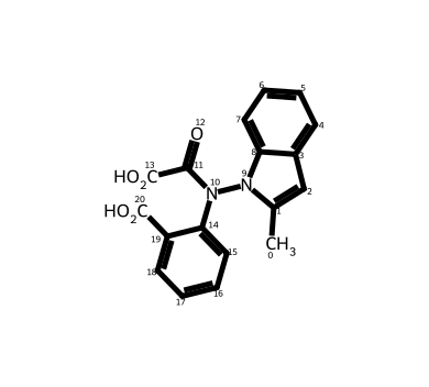 Cc1cc2ccccc2n1N(C(=O)C(=O)O)c1ccccc1C(=O)O